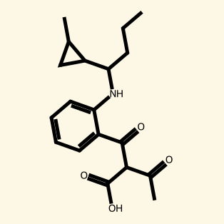 CCCC(Nc1ccccc1C(=O)C(C(C)=O)C(=O)O)C1CC1C